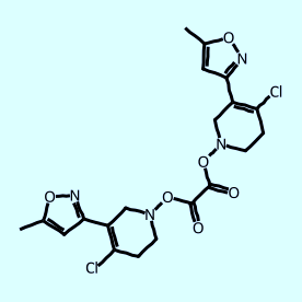 Cc1cc(C2=C(Cl)CCN(OC(=O)C(=O)ON3CCC(Cl)=C(c4cc(C)on4)C3)C2)no1